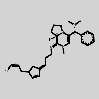 CC/C=C\CC1C=C/C(=C/CC/N=C2/[C@@H]3CCCN3C([C@@H](c3ccccc3)N(C)C)=CN2C)C1